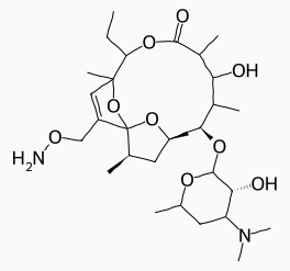 CCC1OC(=O)C(C)C(O)C(C)[C@@H](OC2OC(C)CC(N(C)C)[C@H]2O)[C@]2(C)C[C@@H](C)C3(OC1(C)C=C3CON)O2